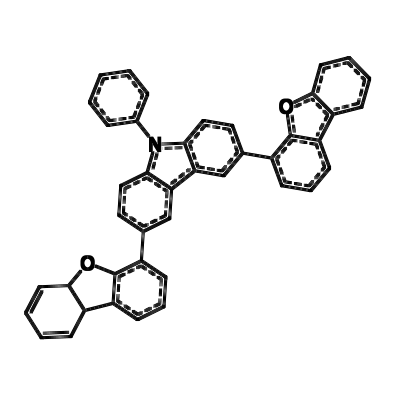 C1=CC2Oc3c(-c4ccc5c(c4)c4cc(-c6cccc7c6oc6ccccc67)ccc4n5-c4ccccc4)cccc3C2C=C1